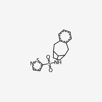 O=S(=O)(NC1C2CCC1Cc1ccccc1C2)c1ccns1